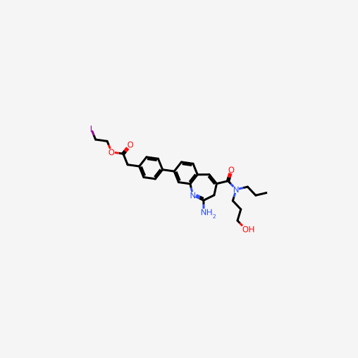 CCCN(CCCO)C(=O)C1=Cc2ccc(-c3ccc(CC(=O)OCCI)cc3)cc2N=C(N)C1